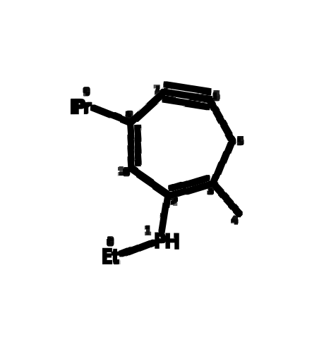 CCPC1=C(C)CC#CC(C(C)C)=C1